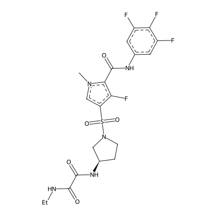 CCNC(=O)C(=O)N[C@@H]1CCN(S(=O)(=O)c2cn(C)c(C(=O)Nc3cc(F)c(F)c(F)c3)c2F)C1